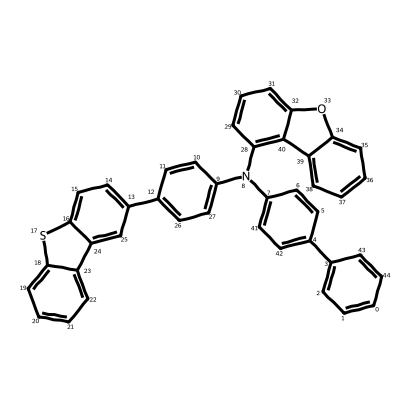 c1ccc(-c2ccc(N(c3ccc(-c4ccc5sc6ccccc6c5c4)cc3)c3cccc4oc5ccccc5c34)cc2)cc1